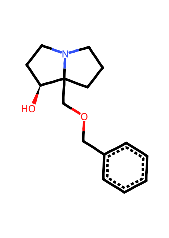 O[C@H]1CCN2CCCC12COCc1ccccc1